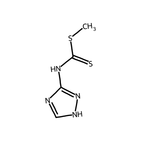 CSC(=S)Nc1nc[nH]n1